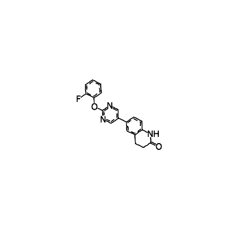 O=C1CCc2cc(-c3cnc(Oc4ccccc4F)nc3)ccc2N1